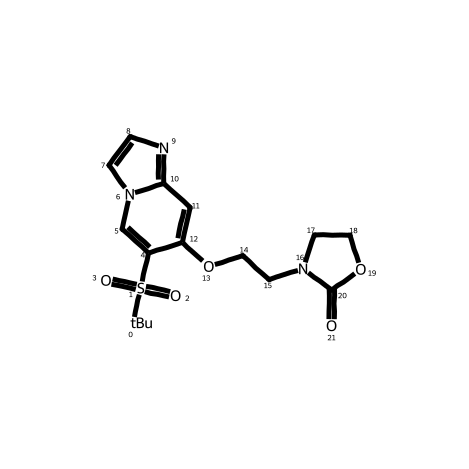 CC(C)(C)S(=O)(=O)c1cn2ccnc2cc1OCCN1CCOC1=O